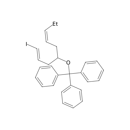 CC/C=C\CC(C/C=C/I)OC(c1ccccc1)(c1ccccc1)c1ccccc1